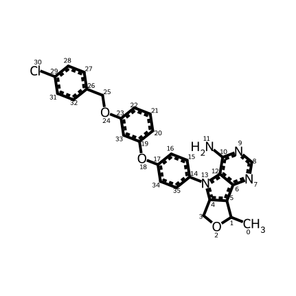 CC1OCc2c1c1ncnc(N)c1n2-c1ccc(Oc2cccc(OCc3ccc(Cl)cc3)c2)cc1